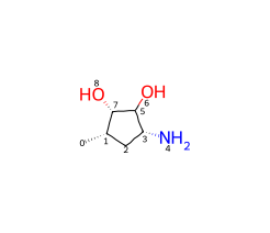 C[C@H]1C[C@@H](N)C(O)[C@H]1O